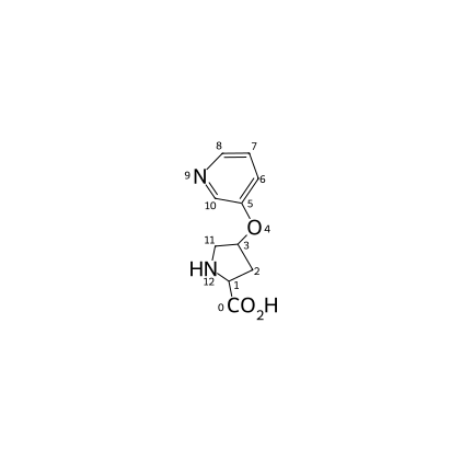 O=C(O)C1CC(Oc2cccnc2)CN1